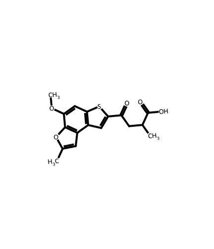 COc1cc2sc(C(=O)CC(C)C(=O)O)cc2c2cc(C)oc12